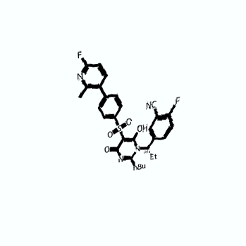 CCCCc1nc(=O)c(S(=O)(=O)c2ccc(-c3ccc(F)nc3C)cc2)c(O)n1[C@@H](CC)c1ccc(F)c(C#N)c1